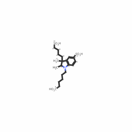 CC1N(CCCCCC(=O)O)c2ccc(S(=O)(=O)O)cc2C1(C)CCCCS(=O)(=O)O